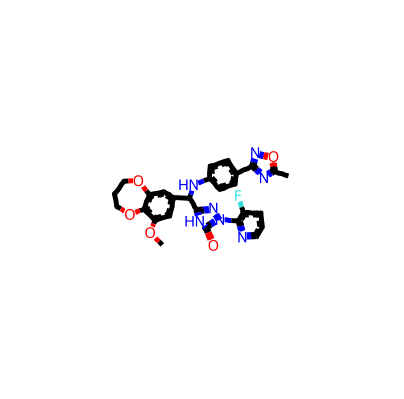 COc1cc(C(Nc2ccc(-c3noc(C)n3)cc2)c2nn(-c3ncccc3F)c(=O)[nH]2)cc2c1OCCCO2